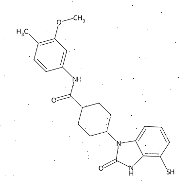 COc1cc(NC(=O)C2CCC(n3c(=O)[nH]c4c(S)cccc43)CC2)ccc1C